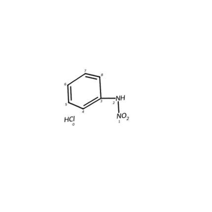 Cl.O=[N+]([O-])Nc1ccccc1